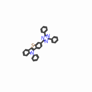 c1ccc(-c2nc(-c3ccccc3)nc(-c3ccc4c(c3)sc3c5ccccc5n(-c5ccccc5)c43)n2)cc1